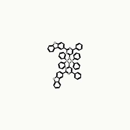 c1ccc(-c2cc(N3[Si](c4ccccc4)(c4ccccc4)N(c4cc(-c5ccccc5)nc(-c5ccc6oc7ccccc7c6c5)n4)[Si]3(c3ccccc3)c3ccccc3)nc(-c3ccc4oc5ccccc5c4c3)n2)cc1